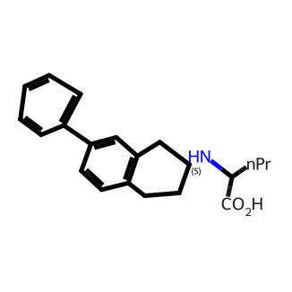 CCCC(N[C@H]1CCc2ccc(-c3ccccc3)cc2C1)C(=O)O